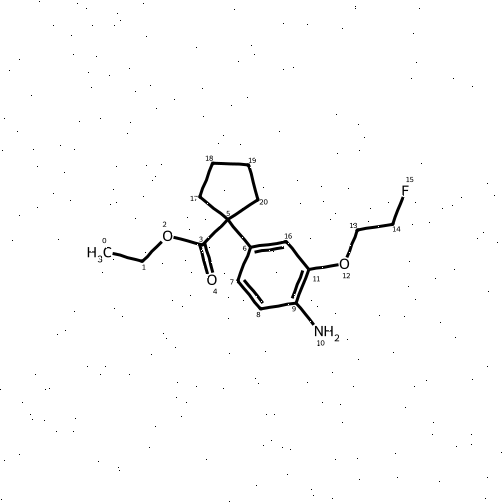 CCOC(=O)C1(c2ccc(N)c(OCCF)c2)CCCC1